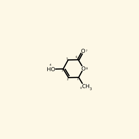 CC1C=C(O)CC(=O)O1